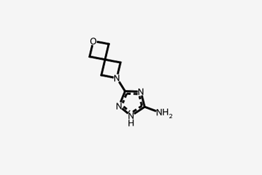 Nc1nc(N2CC3(COC3)C2)n[nH]1